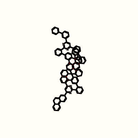 C1=CCC2C(=C1)Oc1cc(-c3ccccc3-c3nc(-c4ccccc4)cc(-c4ccc5c(c4)=CCC4C=CC=CC=54)n3)ccc1C21C2=C(C=CCC2)c2c(-c3cccc(-c4cccc(-c5cc(-c6cccc(-c7ccccc7)c6)nc(-c6ccccc6-c6ccc7c(c6)Oc6ccccc6C76C7=C(C=CCC7)c7ccccc76)n5)c4)c3)cccc21